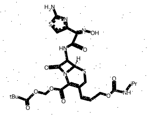 CC(C)NC(=O)OC/C=C\C1=C(C(=O)OCOC(=O)C(C)(C)C)N2C(=O)C(NC(=O)/C(=N\O)c3csc(N)n3)[C@H]2SC1